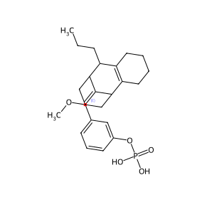 CCCC1C2=C(CCCC2)C2CCCC1/C2=C(\OC)c1cccc(OP(=O)(O)O)c1